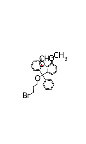 COc1cccc(C(OCCCBr)(c2ccccc2)c2ccccc2)c1OC